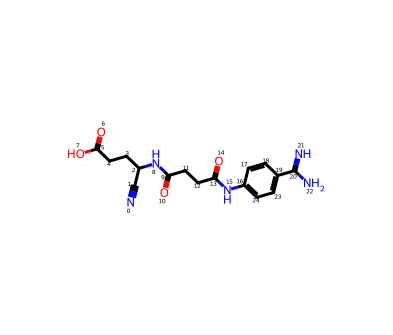 N#CC(CCC(=O)O)NC(=O)CCC(=O)Nc1ccc(C(=N)N)cc1